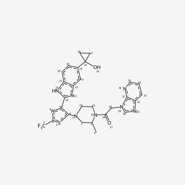 CC1CN(c2sc(C(F)(F)F)nc2-c2nc3cc(C4(O)CC4)ccc3[nH]2)CCN1C(=O)Cn1cnc2cccnc21